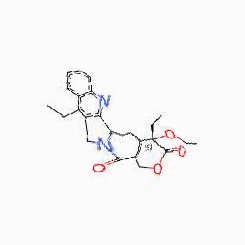 CCO[C@]1(CC)C(=O)OCC2=C1CC1c3nc4ccccc4c(CC)c3CN1C2=O